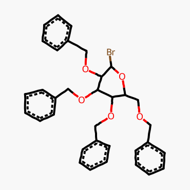 BrC1OC(COCc2ccccc2)C(OCc2ccccc2)C(OCc2ccccc2)C1OCc1ccccc1